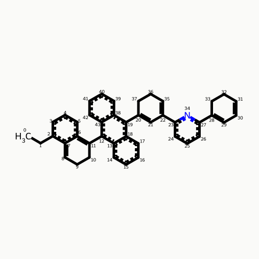 CCc1cccc2c1=CCCC=2c1c2ccccc2c(C2=CC(c3cccc(C4=CC=CCC4)n3)=CCC2)c2ccccc12